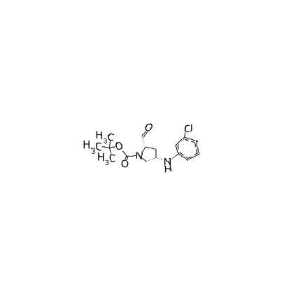 CC(C)(C)OC(=O)N1C[C@@H](Nc2cccc(Cl)c2)C[C@H]1C=O